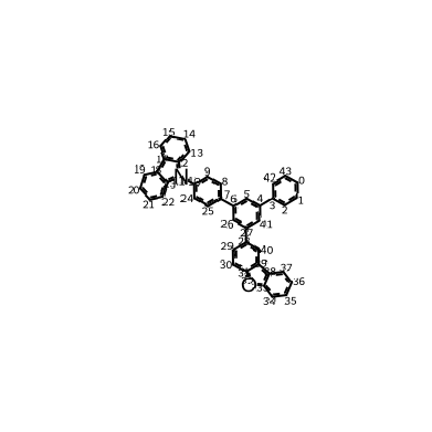 c1ccc(-c2cc(-c3ccc(-n4c5ccccc5c5ccccc54)cc3)cc(-c3ccc4oc5ccccc5c4c3)c2)cc1